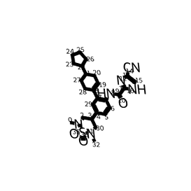 CN1CC(c2ccc(NC(=O)c3nc(C#N)c[nH]3)c(C3=CCC(C4CCCC4)CC3)c2)CN(C)S1(=O)=O